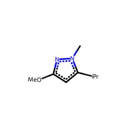 COc1cc(C(C)C)n(C)n1